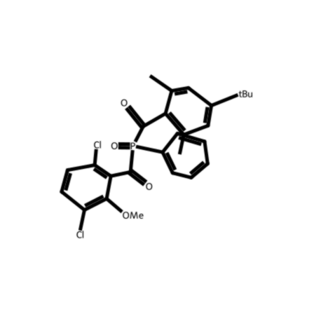 COc1c(Cl)ccc(Cl)c1C(=O)P(=O)(C(=O)c1c(C)cc(C(C)(C)C)cc1C)c1ccccc1